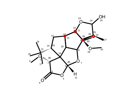 CO[C@H]1C(=O)O[C@H]2OC34C(=O)OC5C[C@@H](C(C)(C)C)C21C53CC1OC(O)[C@@H](C)[C@@]14OC